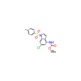 Cc1ccc(S(=O)(=O)n2ccc3c(NC(=O)OC(C)(C)C)cc(Cl)cc32)cc1